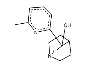 Cc1cccc(C2(O)CN3CCC2CC3)n1